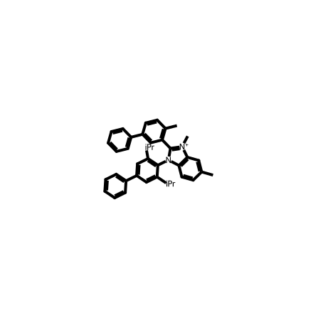 Cc1ccc2c(c1)[n+](C)c(-c1cc(-c3ccccc3)ccc1C)n2-c1c(C(C)C)cc(-c2ccccc2)cc1C(C)C